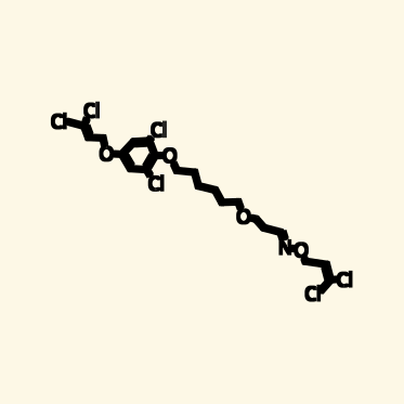 ClC(Cl)=CCO/N=C/CCOCCCCCCOc1c(Cl)cc(OCC=C(Cl)Cl)cc1Cl